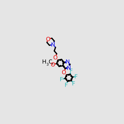 COc1cc2c(Oc3c(F)c(F)c(F)c(F)c3F)ncnc2cc1OCCCN1CCOCC1